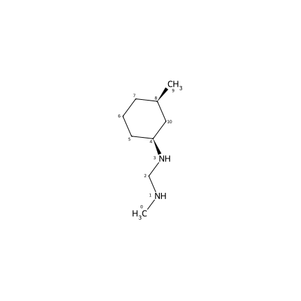 CNCN[C@H]1CCC[C@@H](C)C1